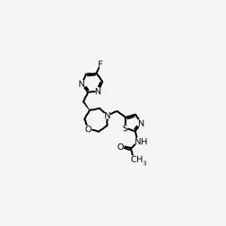 CC(=O)Nc1ncc(CN2CCOC[C@@H](Cc3ncc(F)cn3)C2)s1